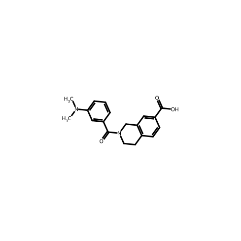 CN(C)c1cccc(C(=O)N2CCc3ccc(C(=O)O)cc3C2)c1